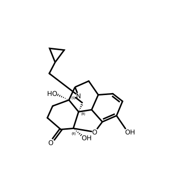 O=C1CC[C@@]2(O)C3CC4C=CC(O)=C5O[C@]1(O)[C@]2(CCN3CC1CC1)C54